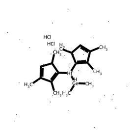 CC1=CC(C)[C]([Hf]([C]2=C(C)C(C)=CC2C)[GeH]([CH3])[CH3])=C1C.Cl.Cl